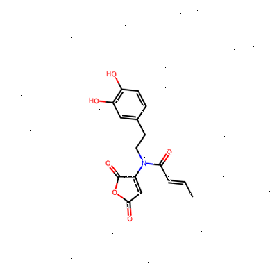 CC=CC(=O)N(CCc1ccc(O)c(O)c1)C1=CC(=O)OC1=O